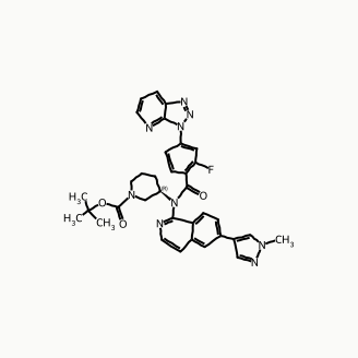 Cn1cc(-c2ccc3c(N(C(=O)c4ccc(-n5nnc6cccnc65)cc4F)[C@@H]4CCCN(C(=O)OC(C)(C)C)C4)nccc3c2)cn1